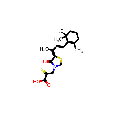 CC(C=CC1=C(C)CCCC1(C)C)=C1SCN(CC(=S)C(=O)O)C1=O